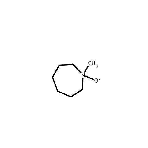 C[N+]1([O-])CCCCCC1